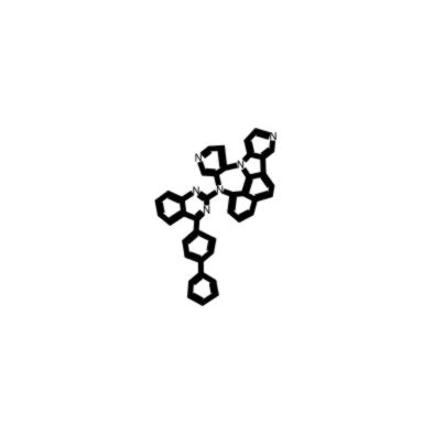 c1ccc(-c2ccc(-c3nc(-n4c5cccc6ccc7c8cnccc8n(c8ccncc84)c7c65)nc4ccccc34)cc2)cc1